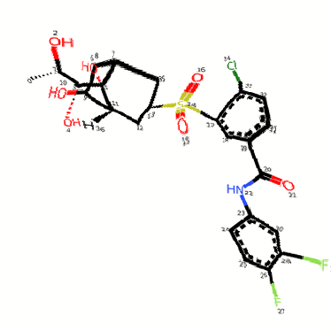 C[C@H](O)[C@@H](O)[C@@]1(O)C2CC(O)[C@H]1C[C@H](S(=O)(=O)c1cc(C(=O)Nc3ccc(F)c(F)c3)ccc1Cl)C2